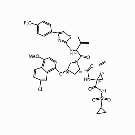 C=C[C@@H]1C[C@]1(NC(=O)[C@@H]1C[C@@H](Oc2ncc(OC)c3ccc(Cl)cc23)CN1C(=O)[C@@H](Nc1nc(-c2ccc(C(F)(F)F)cc2)cs1)C(=C)C)C(=O)NS(=O)(=O)C1CC1